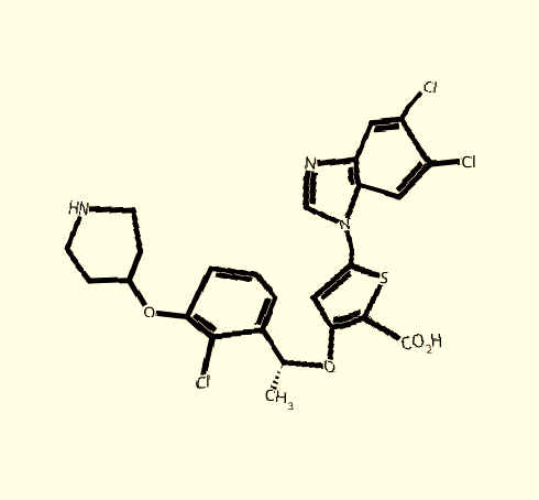 C[C@@H](Oc1cc(-n2cnc3cc(Cl)c(Cl)cc32)sc1C(=O)O)c1cccc(OC2CCNCC2)c1Cl